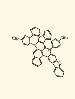 CC(C)(C)c1ccc(N2B3c4c(cc5ccccc5c4-c4cc5c(cc42)oc2ccccc25)N(c2ccc(C(C)(C)C)cc2-c2ccccc2)c2sc4ccccc4c23)cc1